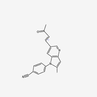 CC(=O)/C=C/c1cnc2cc(C)n(-c3ccc(C#N)cc3)c2c1